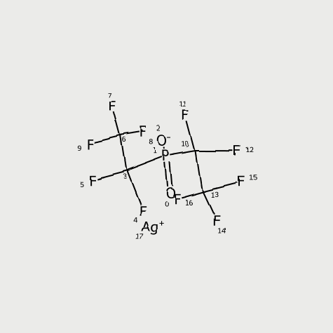 O=P([O-])(C(F)(F)C(F)(F)F)C(F)(F)C(F)(F)F.[Ag+]